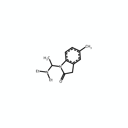 CCN(CC)C(C)N1C(=O)Cc2cc(C)ccc21